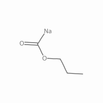 CCCO[C](=O)[Na]